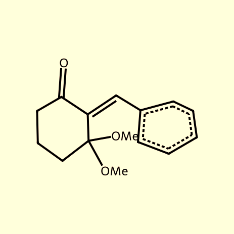 COC1(OC)CCCC(=O)C1=Cc1ccccc1